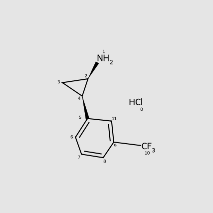 Cl.N[C@@H]1C[C@@H]1c1cccc(C(F)(F)F)c1